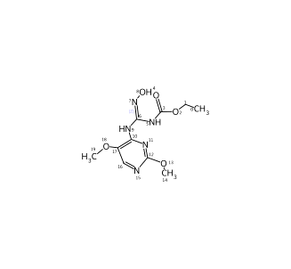 CCOC(=O)N/C(=N\O)Nc1nc(OC)ncc1OC